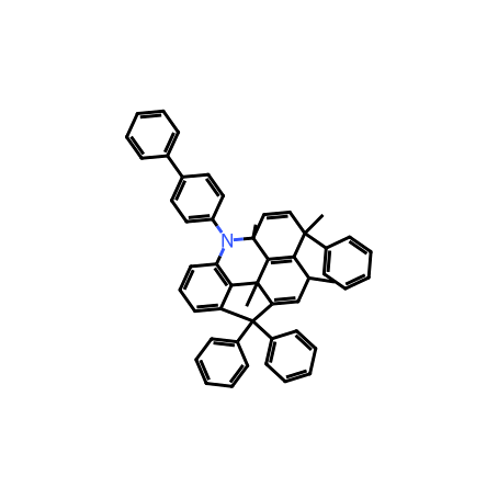 CC1C=C2C3(C)C4=C1C(C)(c1ccccc1)C=CC4(C)N(c1ccc(-c4ccccc4)cc1)c1cccc(c13)C2(c1ccccc1)c1ccccc1